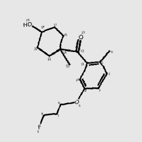 Cc1ccc(OCCCF)cc1C(=O)C1(C)CCC(O)CC1